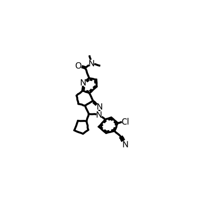 CN(C)C(=O)c1ccc2c(n1)CCC1C2=NN(c2ccc(C#N)c(Cl)c2)C1C1CCCC1